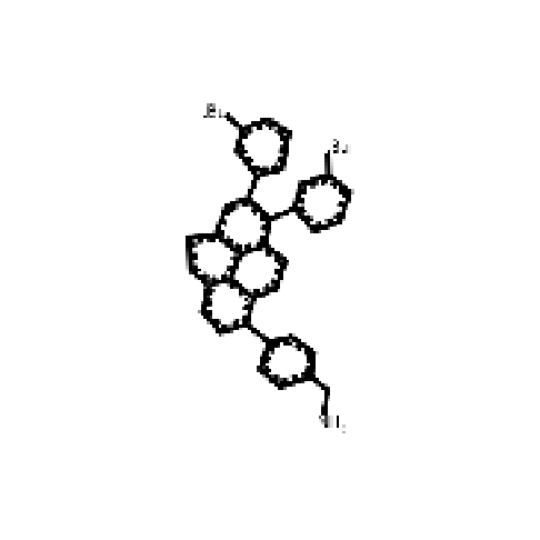 CC(C)(C)c1cccc(-c2cc3ccc4ccc(-c5ccc(CN)cc5)c5ccc(c2-c2cccc(C(C)(C)C)c2)c3c45)c1